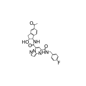 CC(=O)c1ccc2c(c1)C[C@H](O)[C@@H]2NC(=O)c1cc(C(=O)NCc2ccc(F)cc2)nc2ccnn12